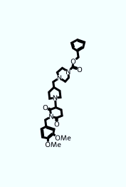 COc1ccc(CN2C(=O)CCC(N3CCC(CN4CCN(C(=O)OCc5ccccc5)CC4)CC3)C2=O)cc1OC